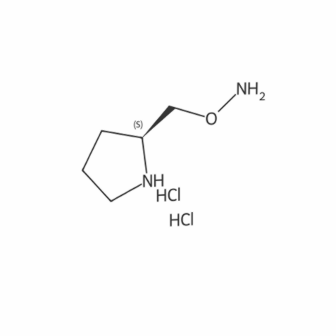 Cl.Cl.NOC[C@@H]1CCCN1